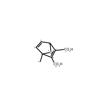 CC12C=CC(O1)C(C(=O)O)=C2C(=O)O